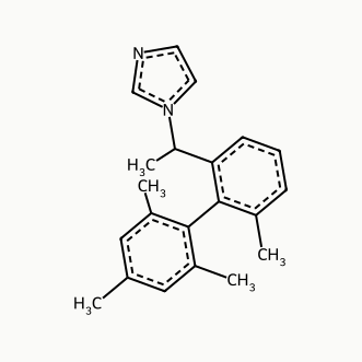 Cc1cc(C)c(-c2c(C)cccc2C(C)n2ccnc2)c(C)c1